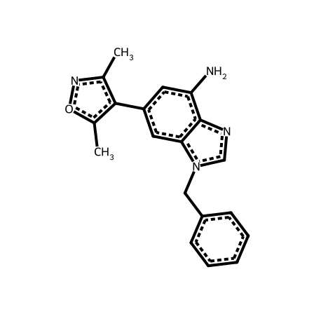 Cc1noc(C)c1-c1cc(N)c2ncn(Cc3ccccc3)c2c1